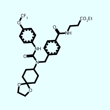 CCOC(=O)CCNC(=O)c1ccc(CN(C(=O)Nc2ccc(OC(F)(F)F)cc2)C2CCC3(CC2)OCCO3)cc1